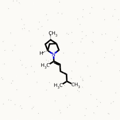 C/C(=C\CCC(C)C)N1CC2C[C@@H]1C[C@@H]2C